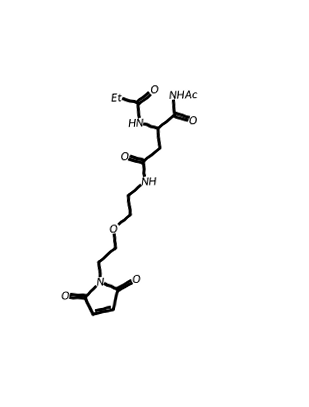 CCC(=O)NC(CC(=O)NCCOCCN1C(=O)C=CC1=O)C(=O)NC(C)=O